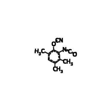 Cc1cc(C)c(OC#N)c(N=C=O)c1C